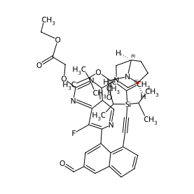 CCOC(=O)COc1nc(N2C[C@H]3CC[C@@H](C2)N3C(=O)OC(C)(C)C)c2cnc(-c3cc(C=O)cc4cccc(C#C[Si](C(C)C)(C(C)C)C(C)C)c34)c(F)c2n1